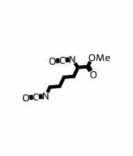 COC(=O)C(CCCCN=C=O)N=C=O